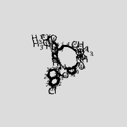 C[C@@H]1[C@@H](C)C/C=C/[C@](O)(CC2=NC(C)(C)CO2)[C@@H]2CC[C@H]2CN2C[C@@]3(CCCc4cc(Cl)ccc43)COc3ccc(cc32)C(=O)NS1(=O)=O